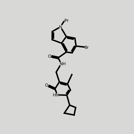 Cc1cc(C2CCC2)[nH]c(=O)c1CNC(=O)c1cc(Br)cc2c1ccn2C(C)C